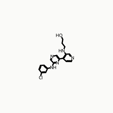 OCCCNc1cnccc1-c1cncc(Nc2cccc(Cl)c2)n1